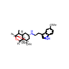 COc1ccc2[nH]cc(CCN[C@H]3C[C@@H]4C(C)[C@H]5O[C@@H](OC)[C@@H]4[C@@](OC)(C3)O5)c2c1